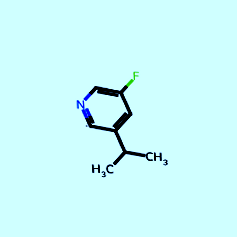 CC(C)c1[c]ncc(F)c1